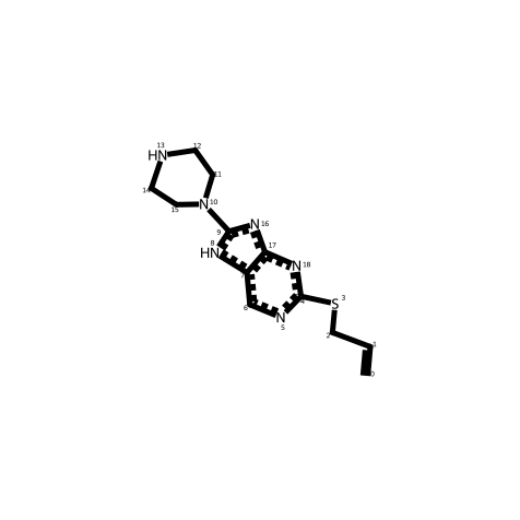 C=CCSc1ncc2[nH]c(N3CCNCC3)nc2n1